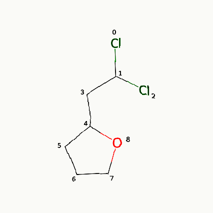 ClC(Cl)CC1CCCO1